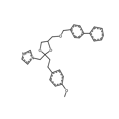 COc1ccc(CCC2(Cn3ccnc3)OCC(COCc3ccc(-c4ccccc4)cc3)O2)cc1